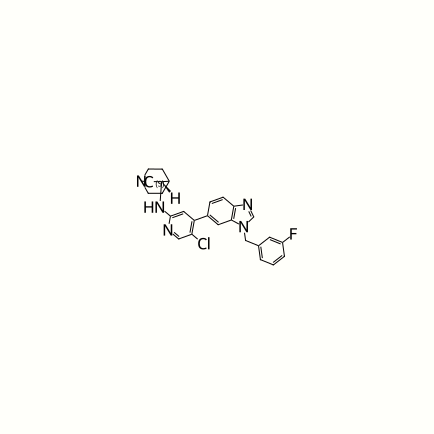 Fc1cccc(Cn2cnc3ccc(-c4cc(N[C@@H]5CN6CCC5CC6)ncc4Cl)cc32)c1